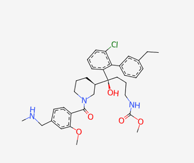 CCc1cccc(-c2c(Cl)cccc2[C@](O)(CCCNC(=O)OC)[C@@H]2CCCN(C(=O)c3ccc(CNC)cc3OC)C2)c1